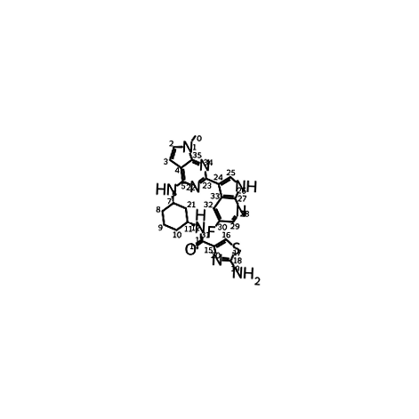 Cn1ccc2c(N[C@@H]3CCC[C@H](NC(=O)c4csc(N)n4)C3)nc(-c3c[nH]c4ncc(F)cc34)nc21